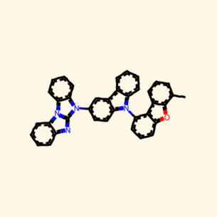 Cc1cccc2c1oc1cccc(-n3c4ccccc4c4cc(-n5c6ccccc6n6c7ccccc7nc56)ccc43)c12